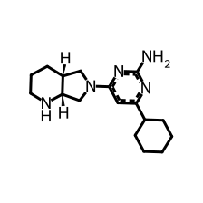 Nc1nc(C2CCCCC2)cc(N2C[C@H]3CCCN[C@H]3C2)n1